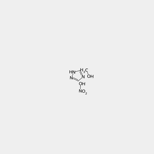 CO.O=[N+]([O-])O.c1nc[nH]n1